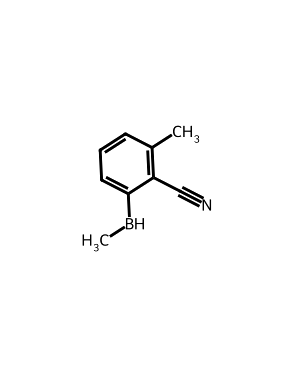 CBc1cccc(C)c1C#N